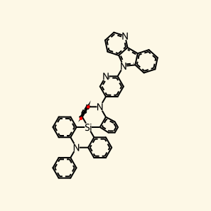 c1ccc(N2c3ccccc3[Si]3(c4ccccc42)c2ccccc2N(c2ccc(-n4c5ccccc5c5ncccc54)nc2)c2ccccc23)cc1